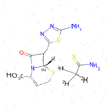 Nc1nnc(C2C(=O)N3C(C(=O)O)=CCS[C@@H]23)s1.[2H]C([2H])([2H])C(N)=S